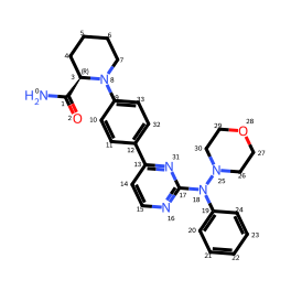 NC(=O)[C@H]1CCCCN1c1ccc(-c2ccnc(N(c3ccccc3)N3CCOCC3)n2)cc1